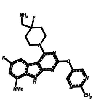 CNc1cc(F)cc2c1[nH]c1nc(Oc3cnc(C)nc3)nc(N3CCC(F)(CN)CC3)c12